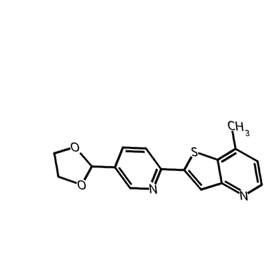 Cc1ccnc2cc(-c3ccc(C4OCCO4)cn3)sc12